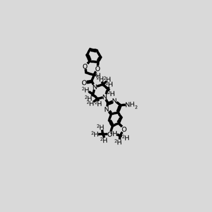 [2H]C([2H])([2H])Oc1cc2nc(N3C([2H])([2H])C([2H])([2H])N(C(=O)C4([2H])COc5ccccc5O4)C([2H])([2H])C3([2H])[2H])nc(N)c2cc1OC([2H])([2H])[2H]